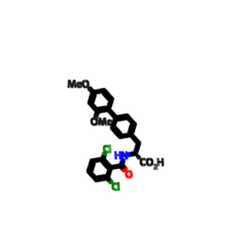 COc1ccc(-c2ccc(C[C@H](NC(=O)c3c(Cl)cccc3Cl)C(=O)O)cc2)c(OC)c1